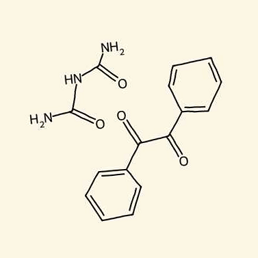 NC(=O)NC(N)=O.O=C(C(=O)c1ccccc1)c1ccccc1